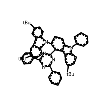 CC(C)(C)c1ccc2c(c1)c1cc(C(C)(C)C)ccc1n2-c1ccc2c(c1-c1nc(-c3ccccc3)nc(-c3ccccc3)n1)c1cc(C(C)(C)C)ccc1n2-c1ccccc1